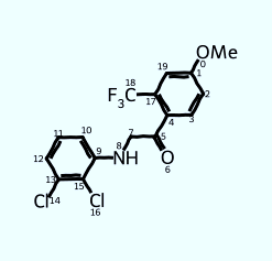 COc1ccc(C(=O)CNc2cccc(Cl)c2Cl)c(C(F)(F)F)c1